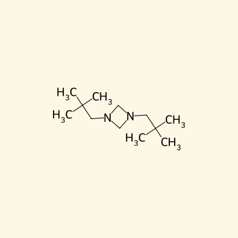 CC(C)(C)CN1CN(CC(C)(C)C)C1